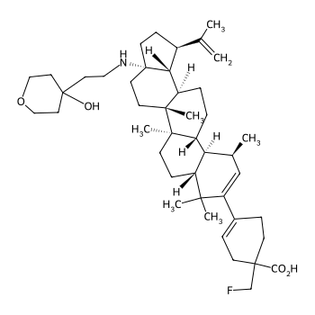 C=C(C)[C@@H]1CC[C@]2(NCCC3(O)CCOCC3)CC[C@]3(C)[C@H](CC[C@@H]4[C@@H]5[C@@H](CC[C@]43C)C(C)(C)C(C3=CCC(CF)(C(=O)O)CC3)=C[C@@H]5C)[C@@H]12